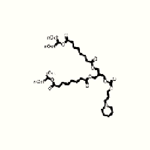 CCCCCCCCC(CCCCCCCC)OC(=O)CCCCCCC(=O)OCC(COC(=O)CCCCCCC(=O)OC(CCCCCCCC)CCCCCCCC)COC(=O)OCCCN1CCCCC1